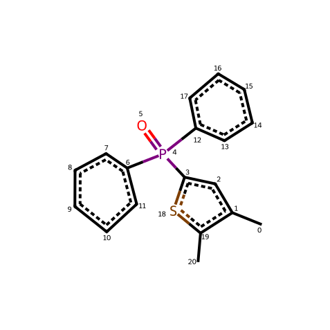 Cc1cc(P(=O)(c2ccccc2)c2ccccc2)sc1C